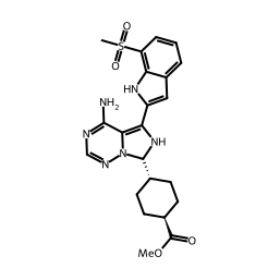 COC(=O)[C@H]1CC[C@H](C2NC(c3cc4cccc(S(C)(=O)=O)c4[nH]3)=C3C(N)=NC=NN32)CC1